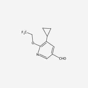 O=Cc1cnc(OCC(F)(F)F)c(C2CC2)c1